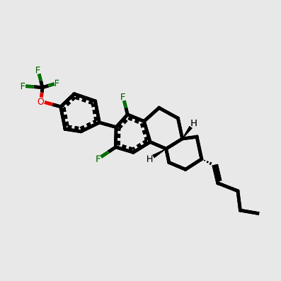 CCC/C=C/[C@@H]1CC[C@@H]2c3cc(F)c(-c4ccc(OC(F)(F)F)cc4)c(F)c3CC[C@@H]2C1